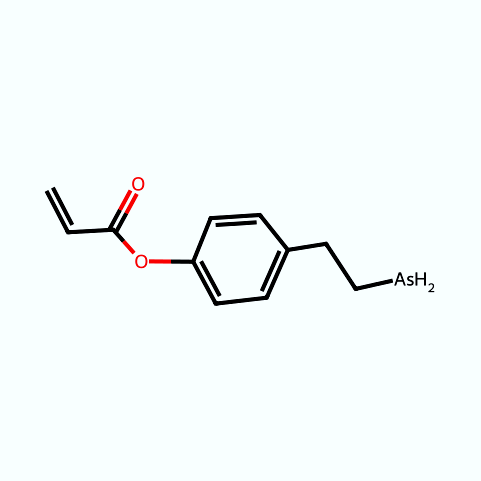 C=CC(=O)Oc1ccc(CC[AsH2])cc1